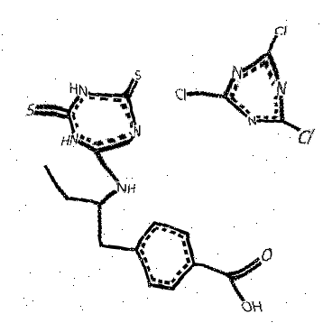 CCC(Cc1ccc(C(=O)O)cc1)Nc1nc(=S)[nH]c(=S)[nH]1.Clc1nc(Cl)nc(Cl)n1